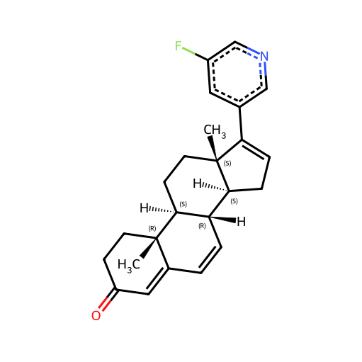 C[C@]12CCC(=O)C=C1C=C[C@@H]1[C@@H]2CC[C@]2(C)C(c3cncc(F)c3)=CC[C@@H]12